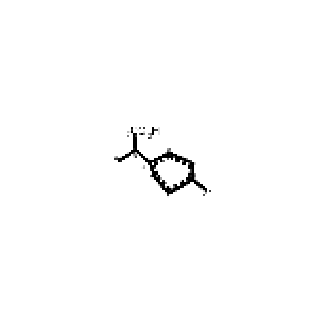 [CH2]c1ccc(C(C)C(=O)O)cc1